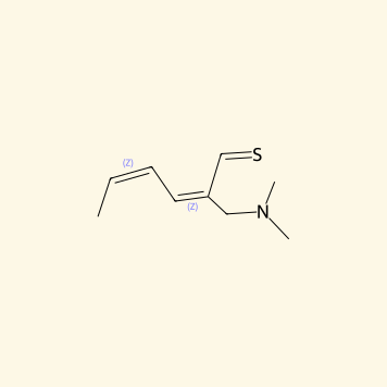 C/C=C\C=C(/C=S)CN(C)C